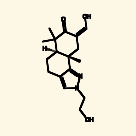 CC1(C)C(=O)/C(=C\O)C[C@]2(C)c3nn(CCO)cc3CC[C@@H]12